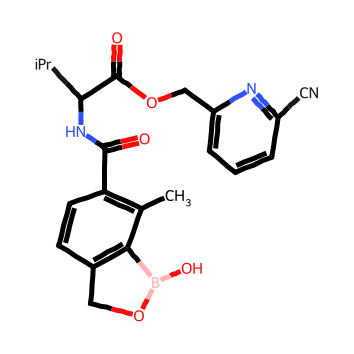 Cc1c(C(=O)NC(C(=O)OCc2cccc(C#N)n2)C(C)C)ccc2c1B(O)OC2